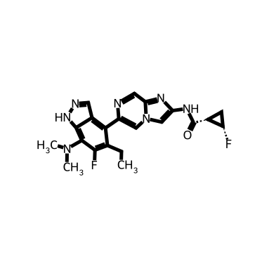 CCc1c(F)c(N(C)C)c2[nH]ncc2c1-c1cn2cc(NC(=O)[C@@H]3C[C@@H]3F)nc2cn1